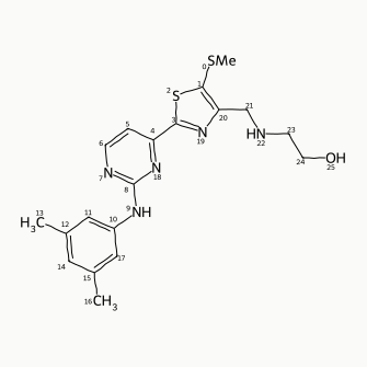 CSc1sc(-c2ccnc(Nc3cc(C)cc(C)c3)n2)nc1CNCCO